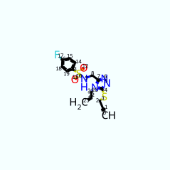 C#CCSc1nnc(CNS(=O)(=O)c2ccc(F)cc2)n1CC=C